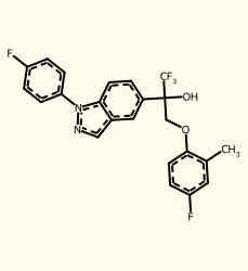 Cc1cc(F)ccc1OCC(O)(c1ccc2c(cnn2-c2ccc(F)cc2)c1)C(F)(F)F